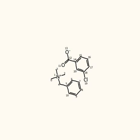 C[N+](C)(C)Cc1ccccc1.O=C([O-])c1cccc(Cl)c1